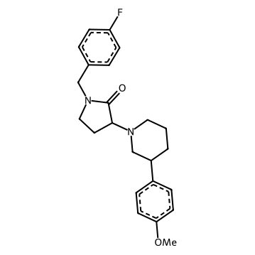 COc1ccc(C2CCCN(C3CCN(Cc4ccc(F)cc4)C3=O)C2)cc1